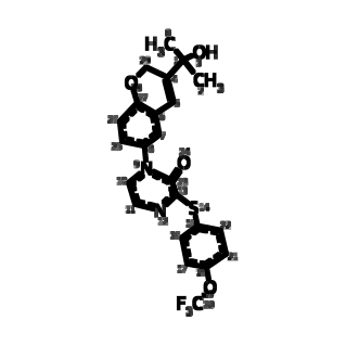 CC(C)(O)C1=Cc2cc(-n3ccnc(Sc4ccc(OC(F)(F)F)cc4)c3=O)ccc2OC1